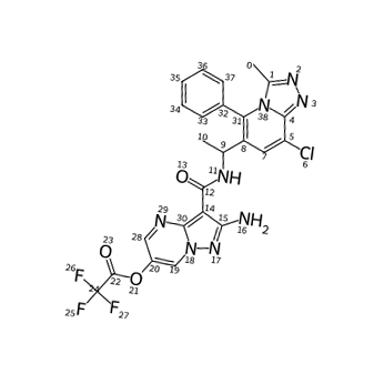 Cc1nnc2c(Cl)cc(C(C)NC(=O)c3c(N)nn4cc(OC(=O)C(F)(F)F)cnc34)c(-c3ccccc3)n12